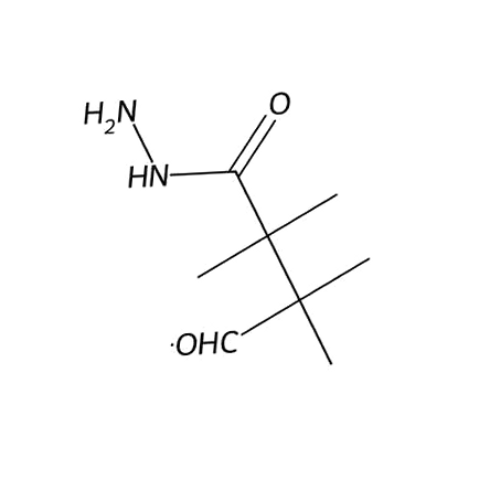 CC(C)([C]=O)C(C)(C)C(=O)NN